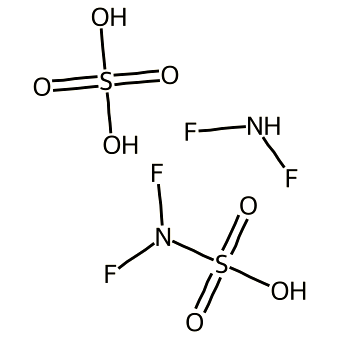 FNF.O=S(=O)(O)N(F)F.O=S(=O)(O)O